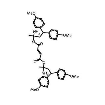 COc1ccc(C(CC(C)(N)OC(=O)/C=C/C(=O)OC(C)(N)CC(c2ccc(OC)cc2)c2ccc(OC)cc2)c2ccc(OC)cc2)cc1